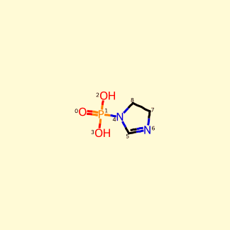 O=P(O)(O)N1C=NCC1